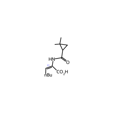 CCCC/C=C(/NC(=O)C1CC1(C)C)C(=O)O